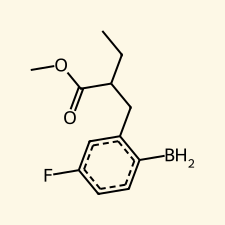 Bc1ccc(F)cc1CC(CC)C(=O)OC